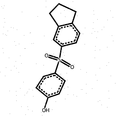 O=S(=O)(c1ccc(O)cc1)c1ccc2c(c1)CCC2